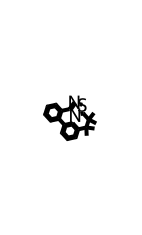 CC1(C)c2cccc3c2N2C(=NSC2C1(C)C)c1ccccc1-3